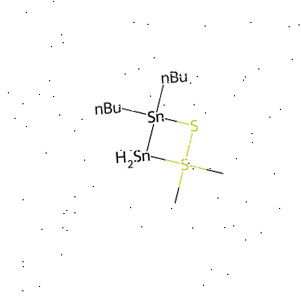 CCC[CH2][Sn]1([CH2]CCC)[S][S](C)(C)[SnH2]1